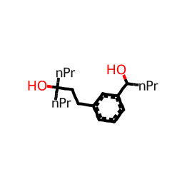 CCCC(O)c1cccc(CCC(O)(CCC)CCC)c1